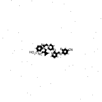 N#CCC1(Cn2c(CN3CCC(Oc4ncccc4COc4ccc(C#N)cc4F)CC3)nc3ccc(C(=O)O)cc32)CC1